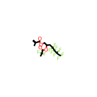 C=C(C)C(=O)OCC(CC(F)(F)C(F)(F)C(F)(F)C(F)F)OC(=O)C(C)(F)F